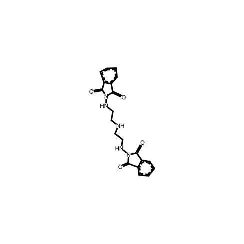 O=C1c2ccccc2C(=O)N1NCCNCCNN1C(=O)c2ccccc2C1=O